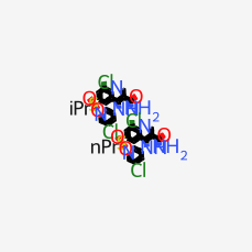 CC(C)S(=O)(=O)c1cc(Cl)c2ncc(C(N)=O)c(Nc3cncc(Cl)c3)c2c1.CCCS(=O)(=O)c1cc(Cl)c2ncc(C(N)=O)c(Nc3cncc(Cl)c3)c2c1